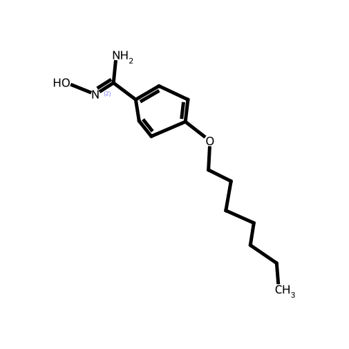 CCCCCCCOc1ccc(/C(N)=N/O)cc1